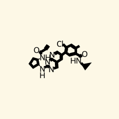 C#CC(=O)N[C@H]1CCC[C@H]1Nc1ncc2cc(-c3cc(C(=O)NC4CC4)c(C)cc3Cl)cnc2n1